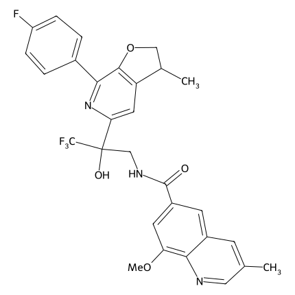 COc1cc(C(=O)NCC(O)(c2cc3c(c(-c4ccc(F)cc4)n2)OCC3C)C(F)(F)F)cc2cc(C)cnc12